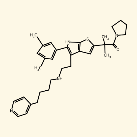 Cc1cc(C)cc(-c2[nH]c3sc(C(C)(C)C(=O)N4CCCC4)cc3c2CCNCCCCc2ccncc2)c1